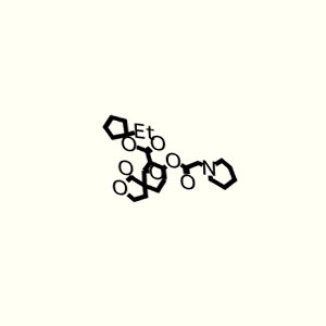 CCC1(OC(=O)C2C(OC(=O)CN3CCCCC3)C3CC4(CCOC4=O)C2O3)CCCC1